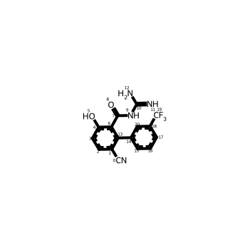 N#Cc1ccc(O)c(C(=O)NC(=N)N)c1-c1cccc(C(F)(F)F)c1